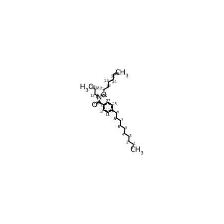 CCCCCCCCCCc1ccc(C(=O)N(CCC)OCCCCCC)cc1